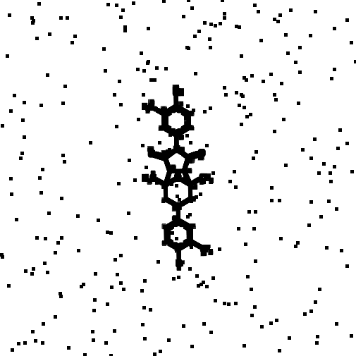 CC12CN(c3ccc(Br)c(C(F)(F)F)c3)CC(C)(O1)C1C(=O)N(c3ccc(C#N)c(C(F)(F)F)c3)C(=O)C12